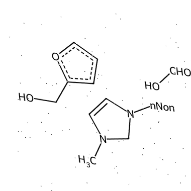 CCCCCCCCCN1C=CN(C)C1.O=CO.OCc1ccco1